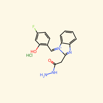 Cl.NNC(=O)CC1=Nc2ccccc2[N+]1=Cc1ccc(F)cc1O